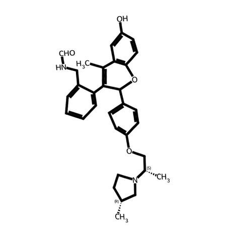 CC1=C(c2ccccc2CNC=O)C(c2ccc(OC[C@H](C)N3CC[C@@H](C)C3)cc2)Oc2ccc(O)cc21